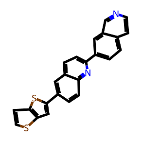 c1cc2ccc(-c3ccc4cc(-c5cc6sccc6s5)ccc4n3)cc2cn1